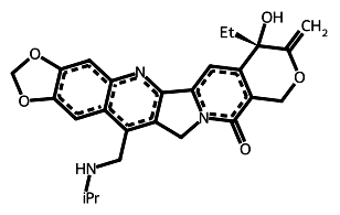 C=C1OCc2c(cc3n(c2=O)Cc2c-3nc3cc4c(cc3c2CNC(C)C)OCO4)[C@@]1(O)CC